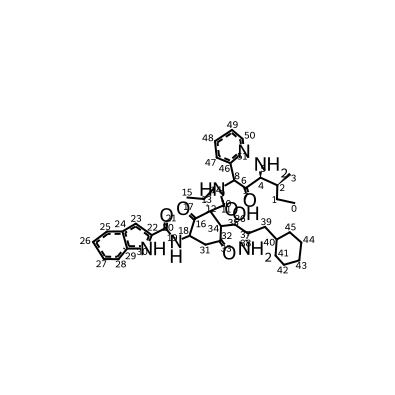 CC[C@H](C)[C@H](N)C(=O)C(NC(=O)[C@]1(C(C)C)C(=O)C(NC(=O)c2cc3ccccc3[nH]2)CC(=O)C1[C@H](O)[C@@H](N)CC1CCCCC1)c1ccccn1